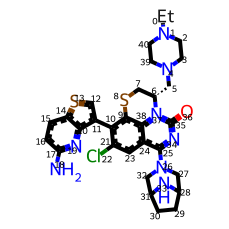 CCN1CCN(C[C@H]2CSc3c(-c4csc5ccc(N)nc45)c(Cl)cc4c(N5CC6CCC(C5)N6)nc(=O)n2c34)CC1